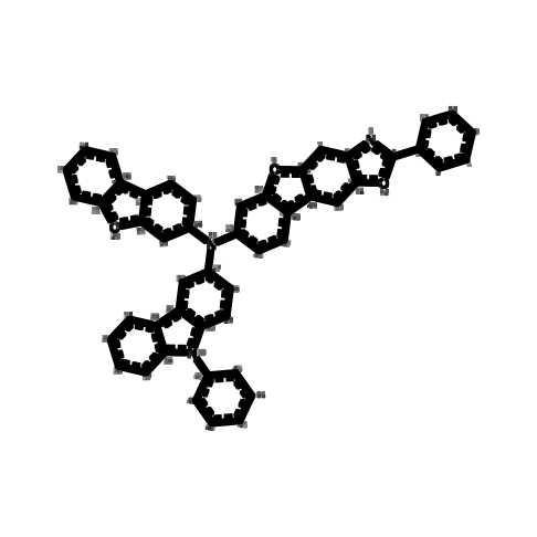 c1ccc(-c2nc3cc4oc5cc(N(c6ccc7c(c6)oc6ccccc67)c6ccc7c(c6)c6ccccc6n7-c6ccccc6)ccc5c4cc3o2)cc1